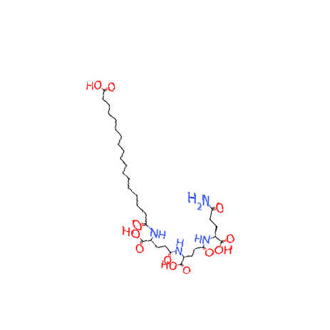 NC(=O)CC[C@H](NC(=O)CC[C@H](NC(=O)CC[C@H](NC(=O)CCCCCCCCCCCCCCCCC(=O)O)C(=O)O)C(=O)O)C(=O)O